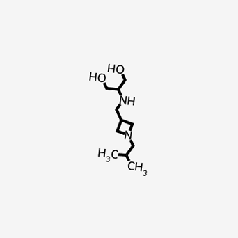 CC(C)CN1CC(CNC(CO)CO)C1